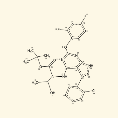 CC(O)[C@H](Nc1nc(Oc2ccc(F)cc2F)nc2[nH]nc(-c3ccccc3Cl)c12)C(=O)OC(C)(C)C